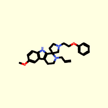 C=CCN1CCc2c([nH]c3ccc(OC)cc23)C12CCN(CCOc1ccccc1)C2